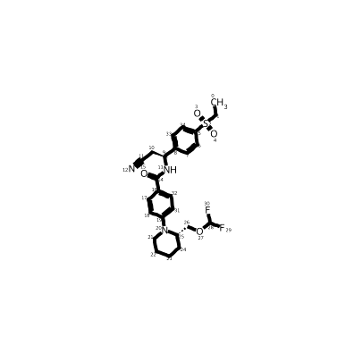 CCS(=O)(=O)c1ccc([C@H](CC#N)NC(=O)c2ccc(N3CCCC[C@H]3COC(F)F)cc2)cc1